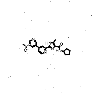 Cc1[nH]c(-c2cc(-c3cncc([S+](C)[O-])c3)ccn2)nc1C(=O)NC1CCCC1